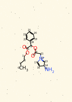 CCCCOC(=O)C(OC(=O)C[N+]1=CC(N)C=C1)c1ccccc1